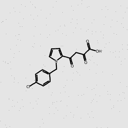 O=C(O)C(=O)CC(=O)c1cccn1Cc1ccc(Cl)cc1